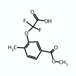 COC(=O)c1ccc(C)c(OC(F)(F)C(=O)O)c1